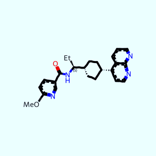 CC[C@H](NC(=O)c1ccc(OC)nc1)[C@H]1CC[C@@H](c2ccnc3ncccc32)CC1